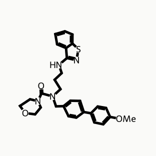 COc1ccc(-c2ccc(CN(CCCNc3nsc4ccccc34)C(=O)N3CCOCC3)cc2)cc1